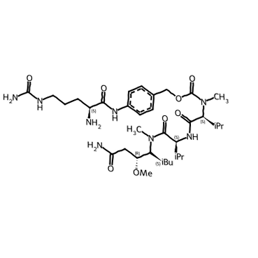 CC[C@H](C)C([C@@H](CC(N)=O)OC)N(C)C(=O)[C@@H](NC(=O)[C@H](C(C)C)N(C)C(=O)OCc1ccc(NC(=O)[C@@H](N)CCCNC(N)=O)cc1)C(C)C